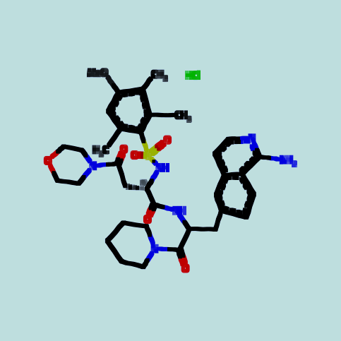 COc1cc(C)c(S(=O)(=O)N[C@@H](CC(=O)N2CCOCC2)C(=O)NC(Cc2ccc3c(N)nccc3c2)C(=O)N2CCCCC2)c(C)c1C.Cl